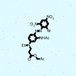 CCN(CCC(=O)OCC(C)=O)c1ccc(N=Nc2c(Br)cc([N+](=O)[O-])cc2[N+](=O)[O-])c(NC(C)=O)c1